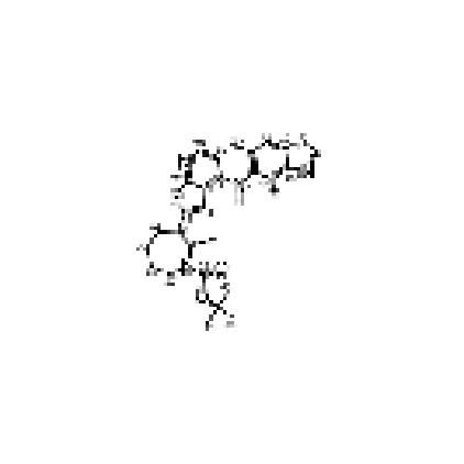 CC1C(c2cc3c(Nc4c(F)cc5scnc5c4F)ccnc3s2)CCCCN1C(=O)OC(C)(C)C